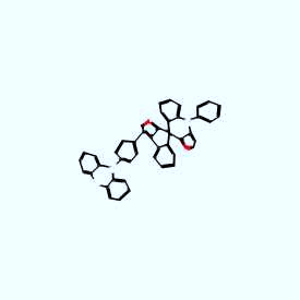 c1ccc(N2c3ccccc3C3(c4ccccc4-c4c(-c5ccc(N6c7ccccc7Sc7ccccc76)cc5)cccc43)c3ccccc32)cc1